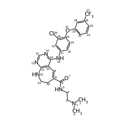 CN(C)CCNC(=O)C1=Cc2c(ncnc2Nc2ccc(Oc3cccc(C(F)(F)F)c3)c(Cl)c2)NCC1